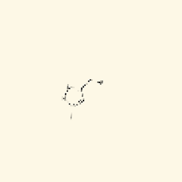 CC1=CC(CF)=N[N]1